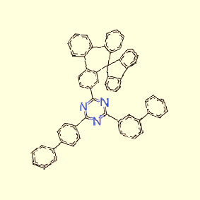 c1ccc(-c2ccc(-c3nc(-c4cccc(-c5ccccc5)c4)nc(-c4ccc5c(c4)C4(c6ccccc6-c6ccccc6-5)c5ccccc5-c5ccccc54)n3)cc2)cc1